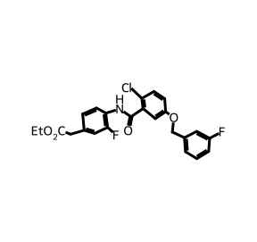 CCOC(=O)Cc1ccc(NC(=O)c2cc(OCc3cccc(F)c3)ccc2Cl)c(F)c1